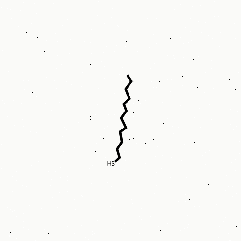 C[CH]CCCCCCCCCCS